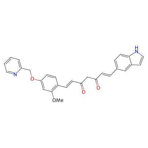 COc1cc(OCc2ccccn2)ccc1/C=C/C(=O)CC(=O)/C=C/c1ccc2[nH]ccc2c1